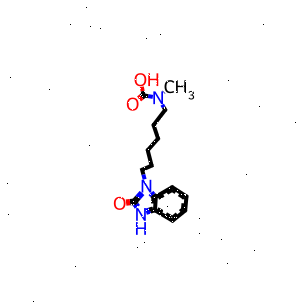 CN(CCCCCCn1c(=O)[nH]c2ccccc21)C(=O)O